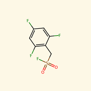 O=S(=O)(F)Cc1c(F)cc(F)cc1F